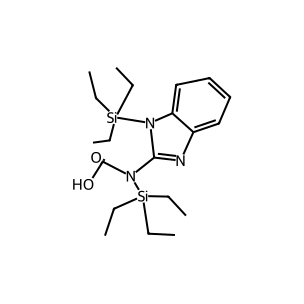 CC[Si](CC)(CC)N(C(=O)O)c1nc2ccccc2n1[Si](CC)(CC)CC